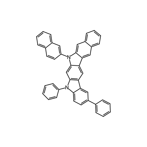 c1ccc(-c2ccc3c(c2)c2cc4c5cc6ccccc6cc5n(-c5ccc6ccccc6c5)c4cc2n3-c2ccccc2)cc1